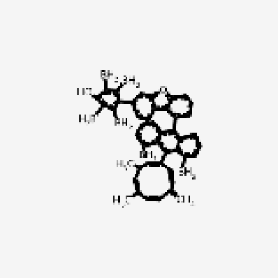 Bc1c(B)c(-c2ccc3c(c2)oc2cccc(-c4c5cccc(B)c5c(C5=C/C(C)/C=C(C)\C=C/C(=C)/C=C\5)c5c(B)cccc45)c23)c(B)c(B)c1O